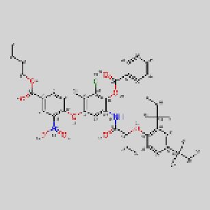 CCCCOC(=O)c1ccc(Oc2cc(NC(=O)C(CC)Oc3ccc(C(C)(C)CC)cc3C(C)(C)CC)c(OC(=O)c3ccccc3)c(Cl)c2C)c([N+](=O)[O-])c1